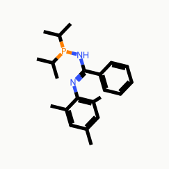 Cc1cc(C)c(/N=C(/NP(C(C)C)C(C)C)c2ccccc2)c(C)c1